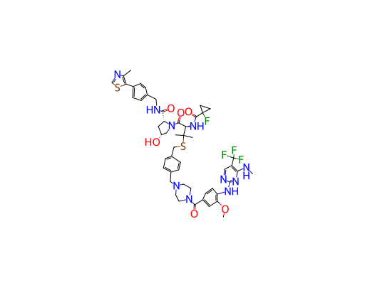 CNc1nc(Nc2ccc(C(=O)N3CCN(Cc4ccc(CSC(C)(C)[C@H](NC(=O)C5(F)CC5)C(=O)N5C[C@H](O)C[C@@H]5C(=O)NCc5ccc(-c6scnc6C)cc5)cc4)CC3)cc2OC)ncc1C(F)(F)F